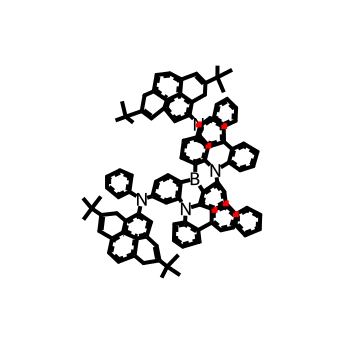 CC(C)(C)C1=Cc2cc(N(c3ccccc3)c3ccc4c(c3)N(c3ccccc3-c3ccccc3)c3cc(-c5ccccc5)cc5c3B4c3ccc(N(c4ccccc4)c4cc6c7c(ccc8c7c4CC(C(C)(C)C)=C8)CC(C(C)(C)C)=C6)cc3N5c3ccccc3-c3ccccc3)c3c4c(ccc(c24)C1)C=C(C(C)(C)C)C3